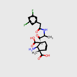 CC(NC(=O)Cc1cc(F)cc(F)c1)C(=O)[C@]1(C(=O)O)CC=CC(C)(C(=O)O)C1N